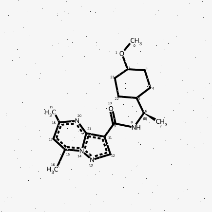 COC1CCC([C@@H](C)NC(=O)c2cnn3c(C)cc(C)nc23)CC1